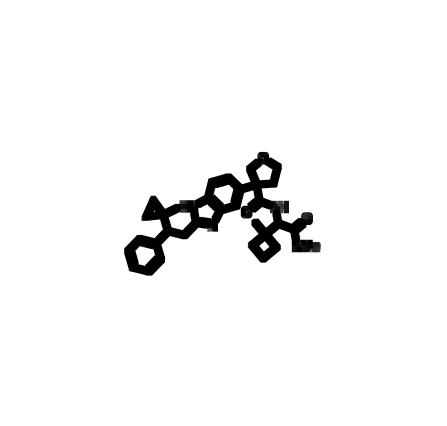 CNC(=O)C(NC(=O)C1(c2ccc3[nH]c(CC(c4ccccc4)C4(C)CC4)nc3c2)CCOC1)C1(C)CCC1